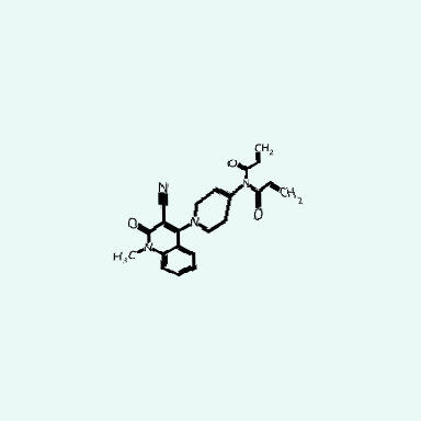 C=CC(=O)N(C(=O)C=C)C1CCN(c2c(C#N)c(=O)n(C)c3ccccc23)CC1